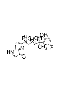 CC(C)(CC(O)(CNc1ccc2[nH]ccc(=O)c2n1)C(F)(F)F)c1cc(F)ccc1O